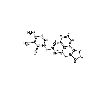 Cc1c(N)cnn(CC(=O)NC(CC2OCCO2)c2ccncc2)c1=O